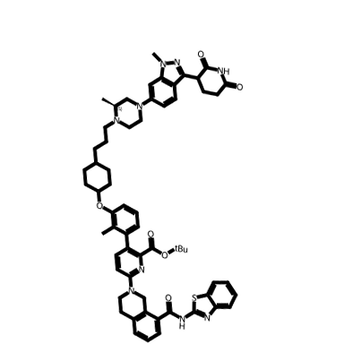 Cc1c(OC2CCC(CCCN3CCN(c4ccc5c(C6CCC(=O)NC6=O)nn(C)c5c4)C[C@@H]3C)CC2)cccc1-c1ccc(N2CCc3cccc(C(=O)Nc4nc5ccccc5s4)c3C2)nc1C(=O)OC(C)(C)C